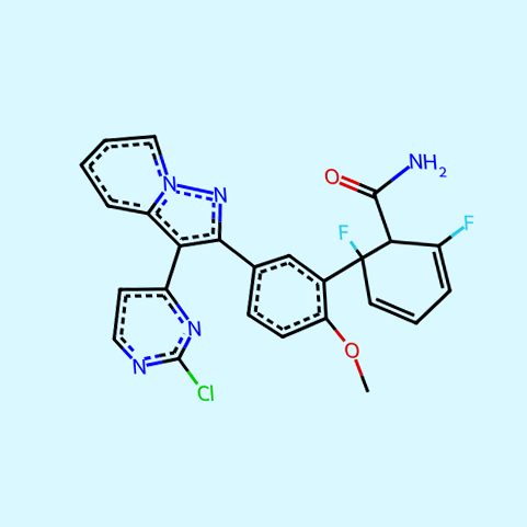 COc1ccc(-c2nn3ccccc3c2-c2ccnc(Cl)n2)cc1C1(F)C=CC=C(F)C1C(N)=O